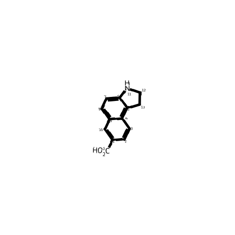 O=C(O)c1ccc2c3c(ccc2c1)NCC3